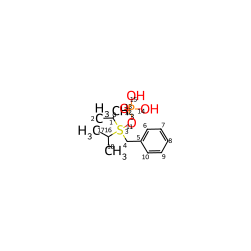 CC(C)S(Cc1ccccc1)(OP(=O)(O)O)C(C)C